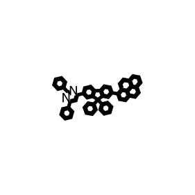 c1ccc(-c2cc(-c3ccc4c(c3)C(c3ccccc3)(c3ccccc3)c3cc(-c5ccc6ccc7cccc8ccc5c6c78)ccc3-4)nc(-c3ccccc3)n2)cc1